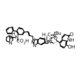 CC(C)(C)[Si](C)(C)O[C@@H](CNCc1ccc2c(c1)nnn2CC=Cc1ccc(-c2ccccc2)c(N(C(=O)O)[C@H]2CN3CCC2CC3)c1)c1ccc(O)c2[nH]c(=O)ccc12